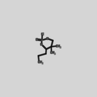 CCCC1OP(=O)(Cl)OCC1(C)C